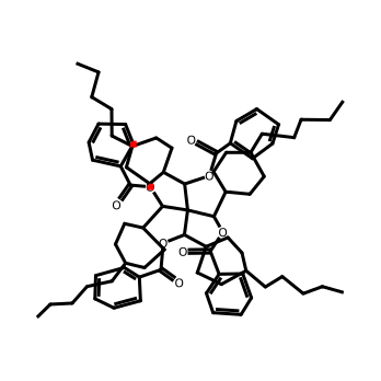 CCCCCC1CCC(C(OC(=O)c2ccccc2)C(C(OC(=O)c2ccccc2)C2CCC(CCCCC)CC2)(C(OC(=O)c2ccccc2)C2CCC(CCCCC)CC2)C(OC(=O)c2ccccc2)C2CCC(CCCCC)CC2)CC1